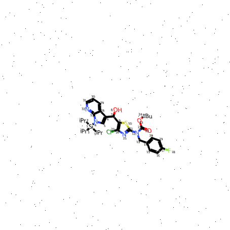 CC(C)[Si](C(C)C)(C(C)C)n1cc(C(O)c2sc(N(Cc3ccc(F)cc3)C(=O)OC(C)(C)C)nc2Cl)c2cccnc21